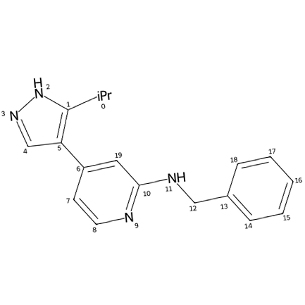 CC(C)c1[nH]ncc1-c1ccnc(NCc2ccccc2)c1